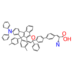 Cc1ccc(C2(c3ccc(C)cc3)c3cc(N(c4ccccc4)c4ccccc4)ccc3-c3c2c2c(c4ccccc34)OC(c3ccccc3)(c3ccc(-c4ccc(/C=C(\C#N)C(=O)O)cc4)cc3)C=C2)cc1